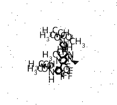 CC(=O)[C@@H]1[C@@H]2[C@H](CN1C(=O)OC(C)(C)C)[C@H]2c1nn(C2CC2)c2c(F)c(-c3cc(NC(=O)OC(C)(C)C)cc(F)c3OC(F)(F)F)nc(C(C)C)c12